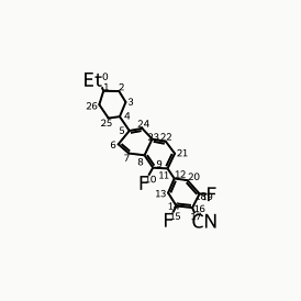 CCC1CCC(c2ccc3c(F)c(-c4cc(F)c(C#N)c(F)c4)ccc3c2)CC1